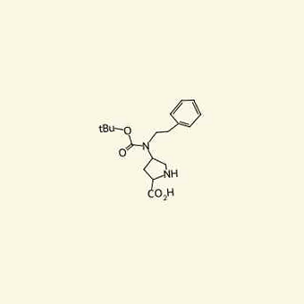 CC(C)(C)OC(=O)N(CCc1ccccc1)C1CNC(C(=O)O)C1